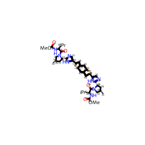 COC(=O)NC(C(=O)N1C[C@H](C)C[C@H]1c1ncc(-c2cc3cc4sc(-c5cnc([C@@H]6C[C@@H](C)CN6C(=O)[C@@H](NC(=O)OC)C(C)C)[nH]5)cc4cc3s2)[nH]1)C(C)C